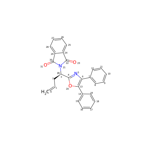 C=CC[C@H](c1nc(-c2ccccc2)c(-c2ccccc2)o1)N1C(=O)c2ccccc2C1=O